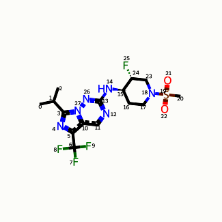 CC(C)c1nc(C(F)(F)F)c2cnc(N[C@@H]3CCN(S(C)(=O)=O)C[C@H]3F)nn12